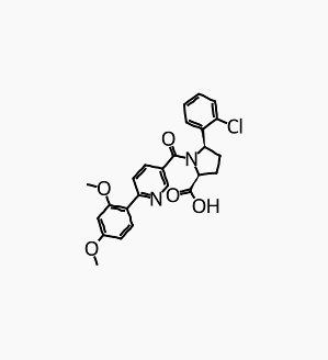 COc1ccc(-c2ccc(C(=O)N3[C@@H](c4ccccc4Cl)CC[C@H]3C(=O)O)cn2)c(OC)c1